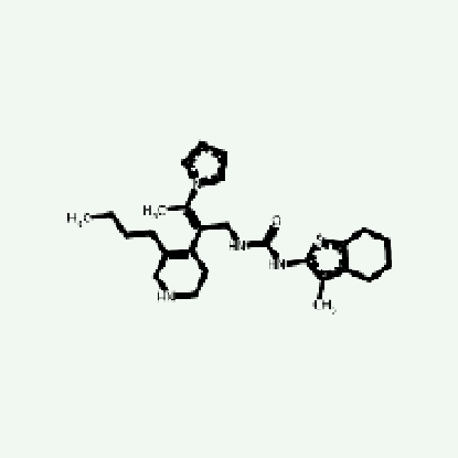 CCCCC1=C(/C(CNC(=O)Nc2sc3c(c2C)CCCC3)=C(\C)n2cccc2)CCNC1